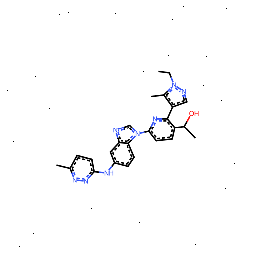 CCn1ncc(-c2nc(-n3cnc4cc(Nc5ccc(C)nn5)ccc43)ccc2C(C)O)c1C